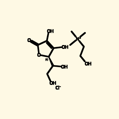 C[N+](C)(C)CCO.O=C1O[C@H](C(O)CO)C(O)=C1O.[Cl-]